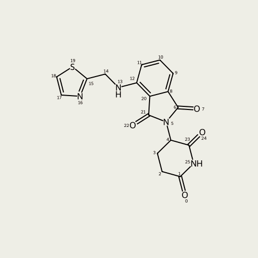 O=C1CCC(N2C(=O)c3cccc(NCc4nccs4)c3C2=O)C(=O)N1